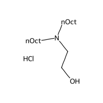 CCCCCCCCN(CCO)CCCCCCCC.Cl